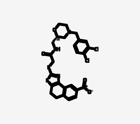 O=C(CSc1nc2c(s1)CCc1ccc([N+](=O)[O-])cc1-2)NC[C@H]1CN(Cc2ccc(Cl)c(Cl)c2)CCO1